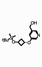 CC(C)(C)[Si](C)(C)O[C@H]1C[C@H](Oc2cncc(CO)c2)C1